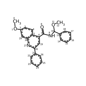 COc1ccc2c(C(=O)NC(OC)c3ccccc3)cc(-c3ccccc3)nc2c1